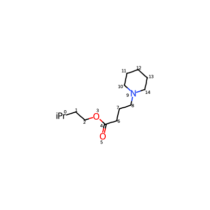 CC(C)CCOC(=O)CCCN1CCCCC1